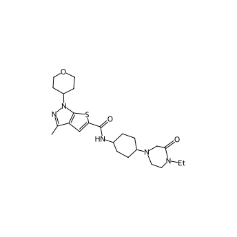 CCN1CCN(C2CCC(NC(=O)c3cc4c(C)nn(C5CCOCC5)c4s3)CC2)CC1=O